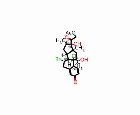 CC(=O)OCC(=O)[C@@]1(O)[C@H](C)C[C@H]2[C@@H]3[C@H](Br)CC4=CC(=O)C=C[C@]4(C)[C@@]3(Cl)[C@@H](O)C[C@@]21C